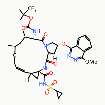 COc1nnc(O[C@@H]2C[C@H]3C(=O)N[C@]4(C(=O)NS(=O)(=O)C5CC5)C[C@@H]4/C=C\CC[C@@H](C)C[C@@H](C)[C@H](NC(=O)OC(C)(C)C(F)(F)F)C(=O)N3C2)c2ccccc12